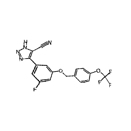 N#Cc1[nH]nnc1-c1cc(F)cc(OCc2ccc(OC(F)(F)F)cc2)c1